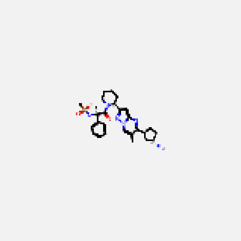 Cc1cn2nc([C@@H]3CCCCN3C(=O)[C@@](C)(NS(C)(=O)=O)c3ccccc3)cc2nc1C1CC[C@H](N)C1